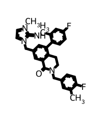 Cc1cc(CN2CCc3c(cc(Cn4ccn(C)c4=N)cc3-c3ccc(F)cc3C)C2=O)ccc1F